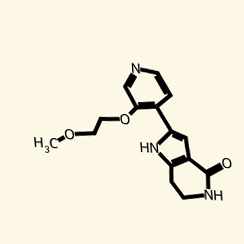 COCCOc1cnccc1-c1cc2c([nH]1)CCNC2=O